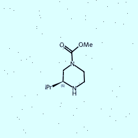 COC(=O)N1CCN[C@@H](C(C)C)C1